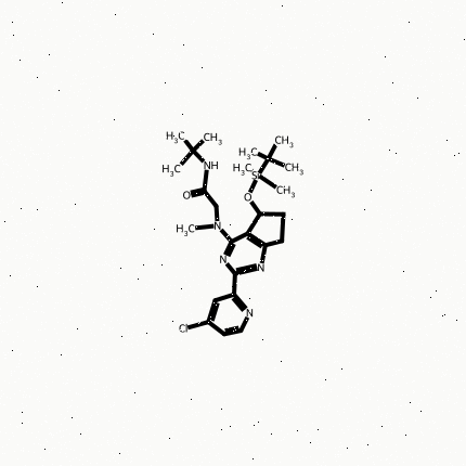 CN(CC(=O)NC(C)(C)C)c1nc(-c2cc(Cl)ccn2)nc2c1C(O[Si](C)(C)C(C)(C)C)CC2